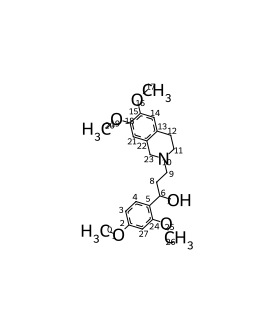 COc1ccc(C(O)CCN2CCc3cc(OC)c(OC)cc3C2)c(OC)c1